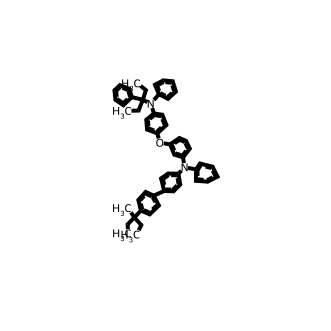 CCC(C)(CC)c1ccc(-c2ccc(N(c3ccccc3)c3cccc(Oc4ccc(N(c5ccccc5)C(CC)(CC)c5ccccc5)cc4)c3)cc2)cc1